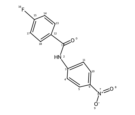 O=C(Nc1ccc([N+](=O)[O-])cc1)c1ccc(F)cc1